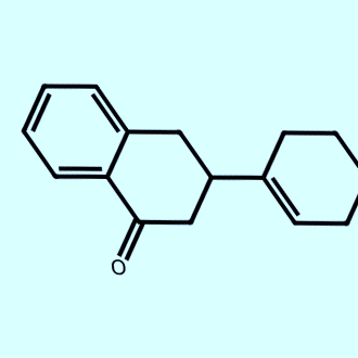 O=C1CC(C2=CCCCC2)Cc2ccccc21